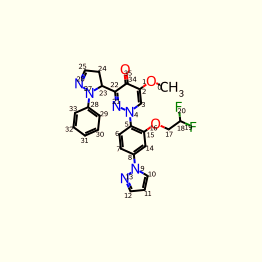 COc1cn(-c2ccc(-n3cccn3)cc2OCC(F)F)nc(C2CC=NN2c2ccccc2)c1=O